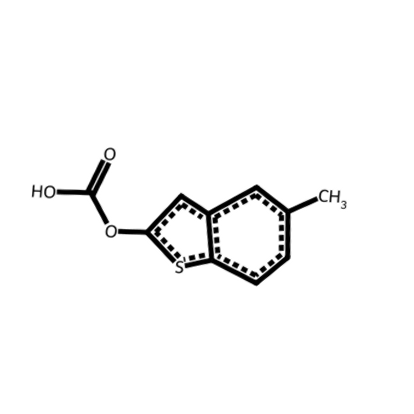 Cc1ccc2sc(OC(=O)O)cc2c1